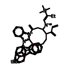 C=CC(=C)C1CCc2ccc3c(oc4ccccc43)c2-c2n(-c3ccc(C(C)(C)C)cc3-c3ccccc3)c3ccccc3[n+]2C(=C)CC1[N+](=C)/C=C(\CC)[Si](C)(C)C